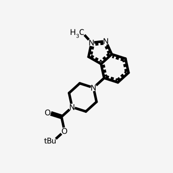 Cn1cc2c(N3CCN(C(=O)OC(C)(C)C)CC3)cccc2n1